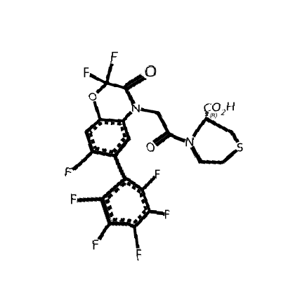 O=C(O)[C@@H]1CSCCN1C(=O)CN1C(=O)C(F)(F)Oc2cc(F)c(-c3c(F)c(F)c(F)c(F)c3F)cc21